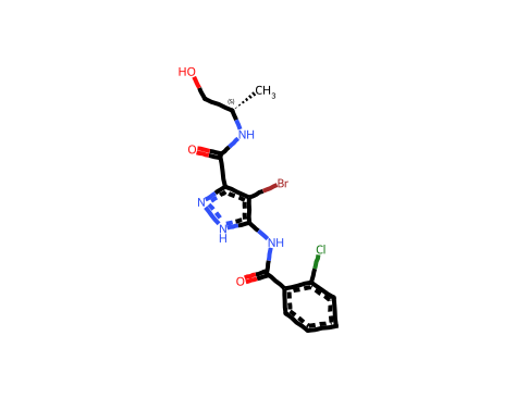 C[C@@H](CO)NC(=O)c1n[nH]c(NC(=O)c2ccccc2Cl)c1Br